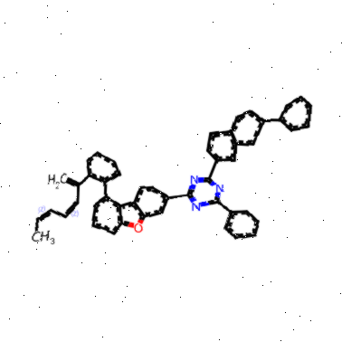 C=C(/C=C\C=C/C)c1ccccc1-c1cccc2oc3cc(-c4nc(-c5ccccc5)nc(-c5ccc6ccc(-c7ccccc7)cc6c5)n4)ccc3c12